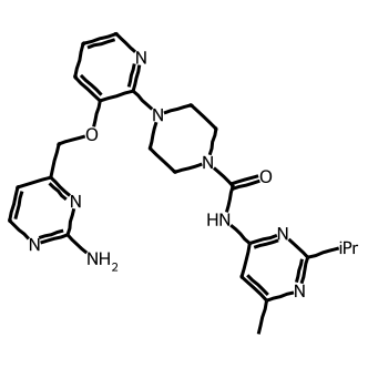 Cc1cc(NC(=O)N2CCN(c3ncccc3OCc3ccnc(N)n3)CC2)nc(C(C)C)n1